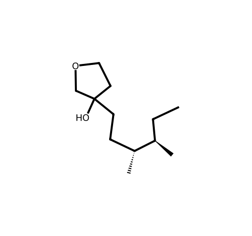 CC[C@@H](C)[C@H](C)CCC1(O)CCOC1